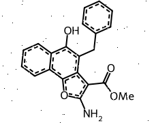 COC(=O)c1c(N)oc2c1c(Cc1ccccc1)c(O)c1ccccc12